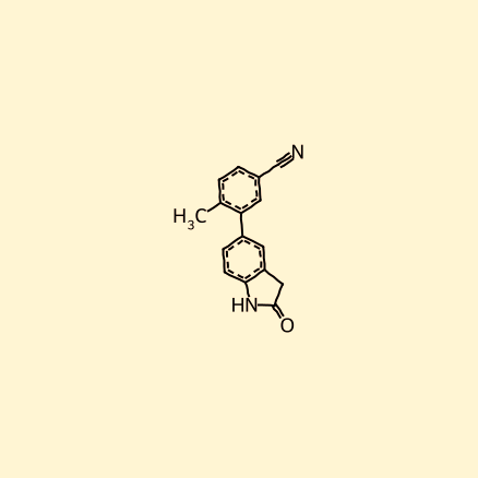 Cc1ccc(C#N)cc1-c1ccc2c(c1)CC(=O)N2